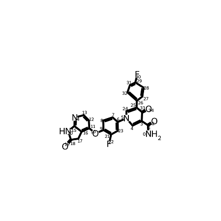 NC(=O)c1cn(-c2ccc(Oc3ccnc4c3CC(=O)N4)c(F)c2)cc(-c2ccc(F)cc2)c1=O